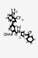 COc1ncc(-c2cc(C(F)(F)F)c3c(N)ncnn23)cc1C(=O)N[C@@H]1CN(C(=O)C2CCCCC2)C[C@@H]1C